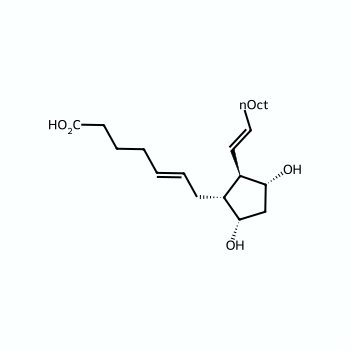 CCCCCCCCC=C[C@@H]1[C@@H](CC=CCCCC(=O)O)[C@@H](O)C[C@H]1O